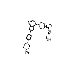 CC(C)N1CCC(c2ccc(-c3cc4c(N5CCN(C(=O)[C@H]6C[C@@H]6C=N)CC5)ccnn4c3)cc2)CC1